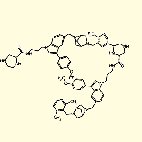 Cc1cccc(C)c1CN1CC2CC1CN2Cc1ccc2c(c1)c(-c1ccc(OC(F)(F)F)cc1)cn2CCCNC(=O)C1CNCC(c2ccc(C(F)(F)F)c(CN3CC4CC3CN4Cc3ccc4c(c3)c(-c3ccc(OC(F)(F)F)cc3)cn4CCCNC(=O)C3CNCCN3)c2)N1